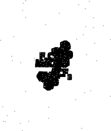 COc1nc2c(NC(=O)c3ccccc3-c3ccc(C(F)(F)F)cc3)cccc2n1CCCCC1(C(=O)NCC(F)(F)F)c2ccccc2-c2ccccc21